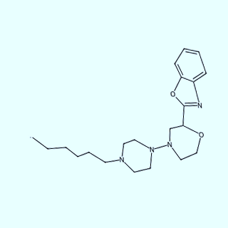 [CH2]CCCCCN1CCN(N2CCOC(c3nc4ccccc4o3)C2)CC1